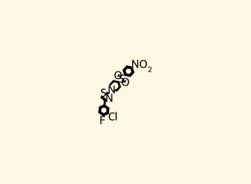 O=[N+]([O-])c1ccc(S(=O)(=O)C2CCN(c3nc(-c4ccc(F)c(Cl)c4)cs3)CC2)cc1